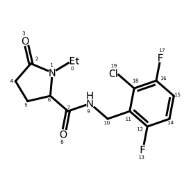 CCN1C(=O)CCC1C(=O)NCc1c(F)ccc(F)c1Cl